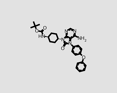 CC(C)(C)OC(=O)N[C@H]1CC[C@H](n2c(=O)n(-c3ccc(Oc4ccccc4)cc3)c3c(N)ncnc32)CC1